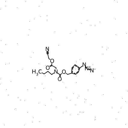 CCCCN(CC(=O)OCC#N)C(=O)OCc1ccc(N=[N+]=[N-])cc1